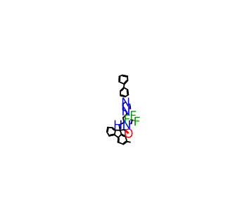 Cc1ccc2c(c1)C(CCCCN1CCN(c3ccc(-c4ccccc4)cc3)CC1)(C(=O)NCC(F)(F)F)c1ccccc1-2